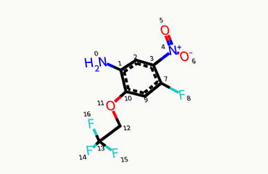 Nc1cc([N+](=O)[O-])c(F)cc1OCC(F)(F)F